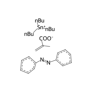 C=C(C)C(=O)[O-].CCC[CH2][Sn+]([CH2]CCC)[CH2]CCC.c1ccc(N=Nc2ccccc2)cc1